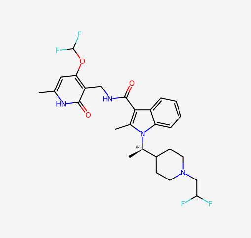 Cc1cc(OC(F)F)c(CNC(=O)c2c(C)n([C@H](C)C3CCN(CC(F)F)CC3)c3ccccc23)c(=O)[nH]1